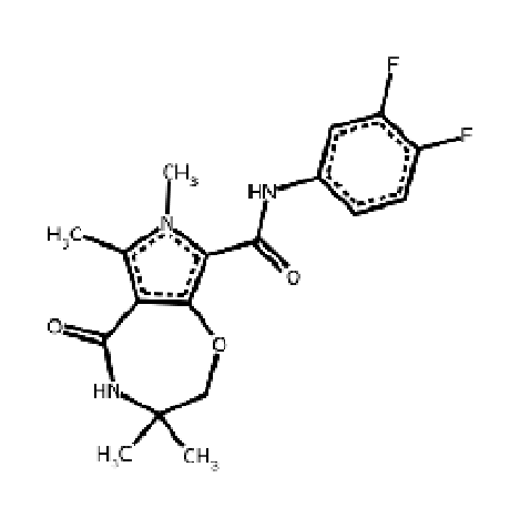 Cc1c2c(c(C(=O)Nc3ccc(F)c(F)c3)n1C)OCC(C)(C)NC2=O